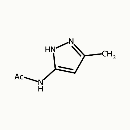 CC(=O)Nc1cc(C)n[nH]1